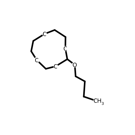 CCCCOC1CCCCCCCCC1